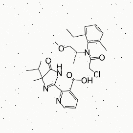 CC(C)C1(C)N=C(c2ncccc2C(=O)O)NC1=O.CCc1cccc(C)c1N(C(=O)CCl)C(C)COC